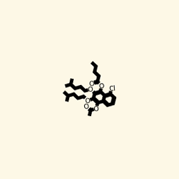 CCCCC(=O)Oc1c(OCCCC(C)C)c(OCCCC(C)C)c(OC(C)=O)c2cccc(Cl)c12